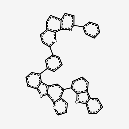 c1ccc(-c2ccc3ccc4ccc(-c5cccc(-c6cccc7oc8c9ccccc9c(-c9cccc%10c9oc9ccccc9%10)cc8c67)c5)nc4c3n2)cc1